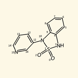 O=S1(=O)Nc2ccccc2N1c1cccnc1